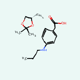 CCCNc1ccc(C(=O)O)cc1.C[C@H]1COC(C)(C)O1